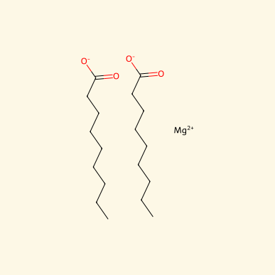 CCCCCCCCC(=O)[O-].CCCCCCCCC(=O)[O-].[Mg+2]